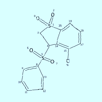 O=S1(=O)CC(S(=O)(=O)c2ccccc2)c2c(Cl)cccc21